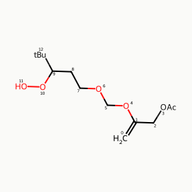 C=C(COC(C)=O)OCOCCC(OO)C(C)(C)C